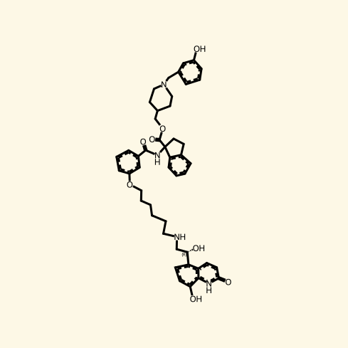 O=C(NC1(C(=O)OCC2CCN(Cc3cccc(O)c3)CC2)CCc2ccccc21)c1cccc(OCCCCCCNC[C@H](O)c2ccc(O)c3[nH]c(=O)ccc23)c1